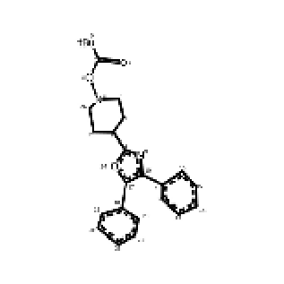 CC(C)(C)C(=O)ON1CCC(c2nc(-c3ccccc3)c(-c3ccccc3)o2)CC1